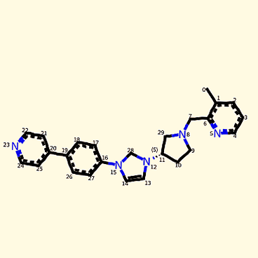 Cc1cccnc1CN1CC[C@H](N2C=CN(c3ccc(-c4ccncc4)cc3)C2)C1